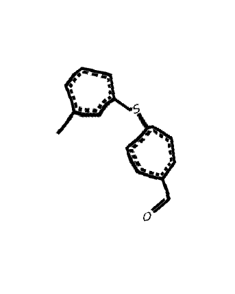 Cc1cccc(Sc2ccc(C=O)cc2)c1